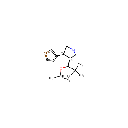 C[SiH](C)OC([C@@H]1CNC[C@@H]1c1ccsc1)C(C)(C)C